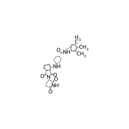 Cc1cc(CNC(=O)[C@H]2CC[C@H](Nc3cccc4c3C(=O)N(C3CCC(=O)NC3=O)C4=O)CC2)cc(C)c1C